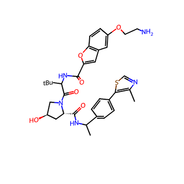 Cc1ncsc1-c1ccc(C(C)NC(=O)[C@@H]2C[C@@H](O)CN2C(=O)C(NC(=O)c2cc3cc(OCCN)ccc3o2)C(C)(C)C)cc1